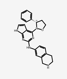 c1ccc([C@@H]2CCON2c2nc(Nc3ccc4c(c3)CNCC4)nc3[nH]ccc23)cc1